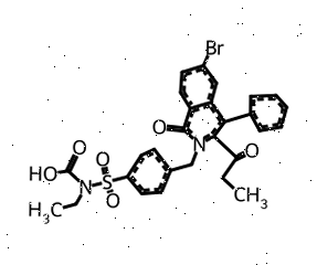 CCC(=O)c1c(-c2ccccc2)c2cc(Br)ccc2c(=O)n1Cc1ccc(S(=O)(=O)N(CC)C(=O)O)cc1